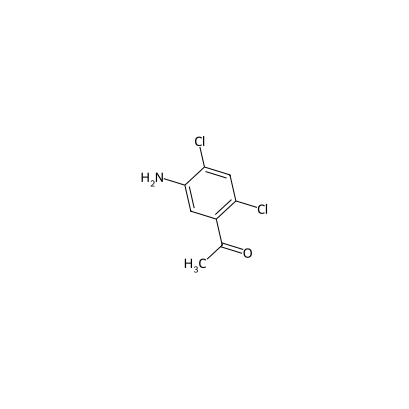 CC(=O)c1cc(N)c(Cl)cc1Cl